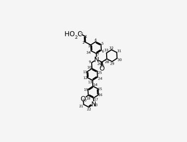 O=C(O)C=Cc1cccc(N(Cc2ccc(-c3ccc4c(c3)OCC=N4)cc2)C(=O)C2CCCCC2)c1